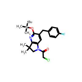 CC1(C)CN(C(=O)CCl)c2cc(Cc3ccc(F)cc3)c(O[Si](C)(C)C(C)(C)C)nc21